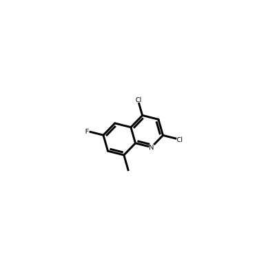 Cc1cc(F)cc2c(Cl)cc(Cl)nc12